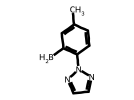 Bc1cc(C)ccc1-n1nccn1